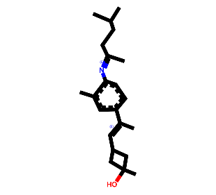 C/C(=C\C1CC(C)(O)C1)c1ccc(/N=C(\C)CCC(C)C)c(C)c1